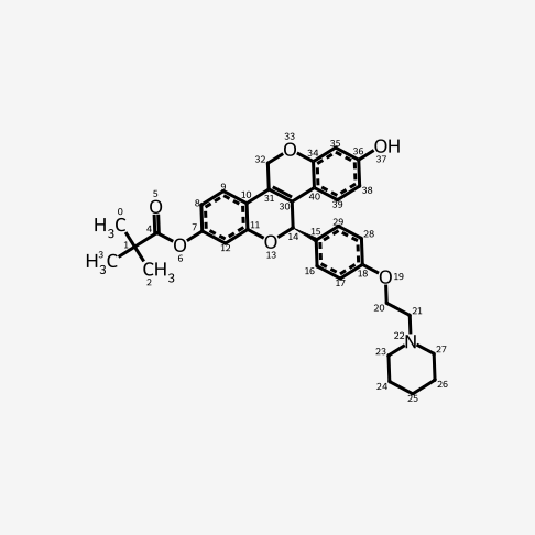 CC(C)(C)C(=O)Oc1ccc2c(c1)O[C@H](c1ccc(OCCN3CCCCC3)cc1)C1=C2COc2cc(O)ccc21